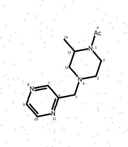 CC(=O)N1CCN(Cc2cn[c]cn2)CC1C